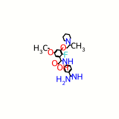 CCOc1cc(OCC(C)N2CCCCC2)c(F)c(C(Nc2ccc(C(=N)N)cc2)C(=O)O)c1